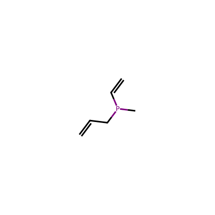 C=CCP(C)C=C